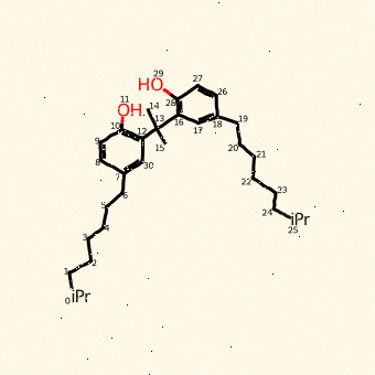 CC(C)CCCCCCc1ccc(O)c(C(C)(C)c2cc(CCCCCCC(C)C)ccc2O)c1